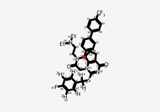 [2H]c1c([2H])c(C([2H])([2H])Sc2nc(=O)c3c(n2CC(=O)N(CCN(CC)CC)Cc2ccc(-c4ccc(C(F)(F)F)cc4)cc2)CCC3)c([2H])c([2H])c1F